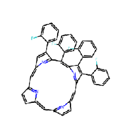 Fc1ccccc1C1=CC2=CC3=NC(=CC4=NC(=CC5=NC(=C(c6ccccc6F)C1=N2)C(c1ccccc1F)=C5c1ccccc1F)C=C4)C=C3